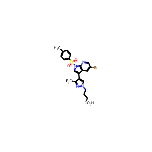 Cc1ccc(S(=O)(=O)n2cc(-c3cn(CCCC(=O)O)nc3C(F)(F)F)c3cc(Br)cnc32)cc1